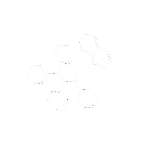 C=C(C(=C(c1ccccc1)c1ccccc1)c1ccccc1)c1ccccc1.c1ccc2ccccc2c1